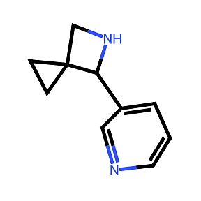 c1cncc(C2NCC23CC3)c1